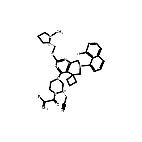 C=C(F)C(=O)N1CCN(c2nc(OC[C@@H]3CCCN3C)nc3c2C2(CCC2)CN(c2cccc4cccc(Cl)c24)C3)C[C@@H]1CC#N